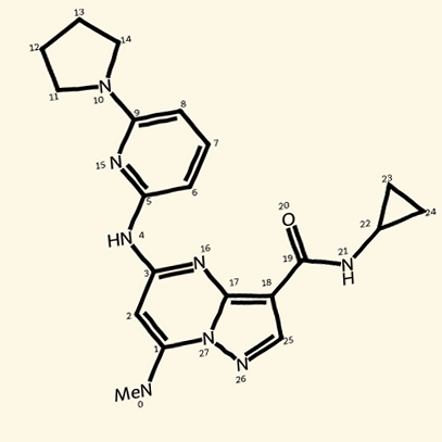 CNc1cc(Nc2cccc(N3CCCC3)n2)nc2c(C(=O)NC3CC3)cnn12